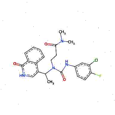 CC(c1c[nH]c(=O)c2ccccc12)N(CCC(=O)N(C)C)C(=O)Nc1ccc(F)c(Cl)c1